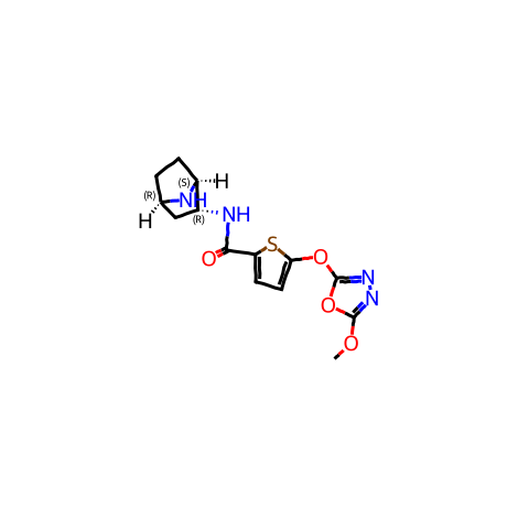 COc1nnc(Oc2ccc(C(=O)N[C@@H]3C[C@H]4CC[C@@H]3N4)s2)o1